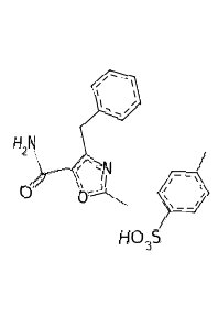 Cc1ccc(S(=O)(=O)O)cc1.Cc1nc(Cc2ccccc2)c(C(N)=O)o1